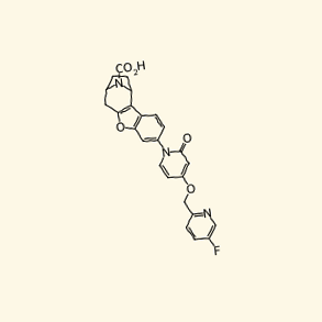 O=C(O)N1C2CCC1c1c(oc3cc(-n4ccc(OCc5ccc(F)cn5)cc4=O)ccc13)C2